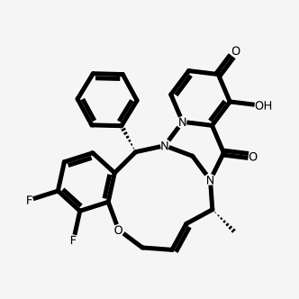 C[C@@H]1/C=C/COc2c(ccc(F)c2F)[C@H](c2ccccc2)N2CN1C(=O)c1c(O)c(=O)ccn12